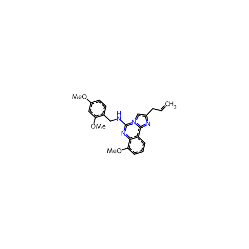 C=CCc1cn2c(NCc3ccc(OC)cc3OC)nc3c(OC)cccc3c2n1